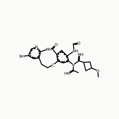 COC1CC(C(=N)N(C(C)=N)c2cc3c(cc2NC=O)C(=O)Nc2ncc(Br)cc2CCC3)C1